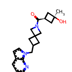 C[C@]1(O)C[C@@H](C(=O)N2CC3(CC(Cn4ccc5cccnc54)C3)C2)C1